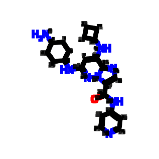 NC1CCC(Nc2cc(NC3CCC3)c3ncc(C(=O)Nc4ccncc4)n3n2)CC1